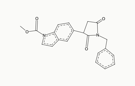 COC(=O)n1ccc2cc(C3CC(=O)N(Cc4ccccc4)C3=O)ccc21